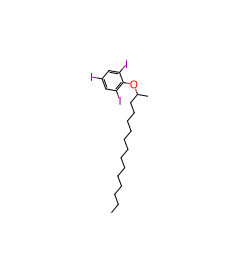 CCCCCCCCCCCCCC(C)Oc1c(I)cc(I)cc1I